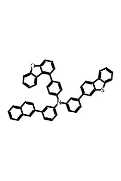 c1cc(-c2ccc3ccccc3c2)cc(N(c2ccc(-c3cccc4oc5ccccc5c34)cc2)c2cccc(-c3ccc4c(c3)sc3ccccc34)c2)c1